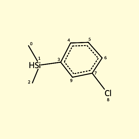 C[SiH](C)c1cccc(Cl)c1